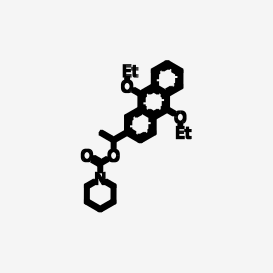 CCOc1c2ccccc2c(OCC)c2cc(C(C)OC(=O)N3CCCCC3)ccc12